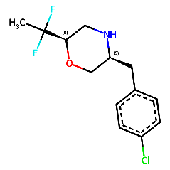 CC(F)(F)[C@H]1CN[C@@H](Cc2ccc(Cl)cc2)CO1